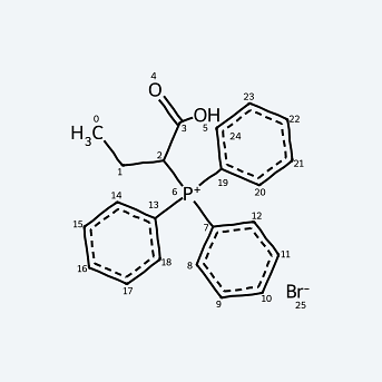 CCC(C(=O)O)[P+](c1ccccc1)(c1ccccc1)c1ccccc1.[Br-]